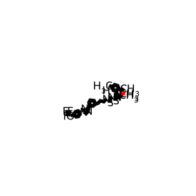 Cc1ccc(C(C)C)c(-n2c(C)cs/c2=N\C(=S)NCCCc2cccc(-c3ncn(-c4ccc(OC(F)(F)F)cc4)n3)c2)c1